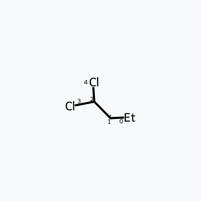 CC[CH]C(Cl)Cl